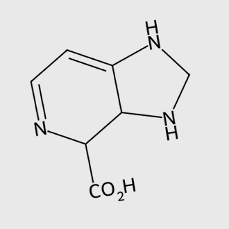 O=C(O)C1N=CC=C2NCNC21